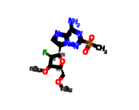 CCCCOC[C@H]1O[C@@H](c2cnc3c(N)nc(S(C)(=O)=O)nn23)[C@H](F)C1OCCCC